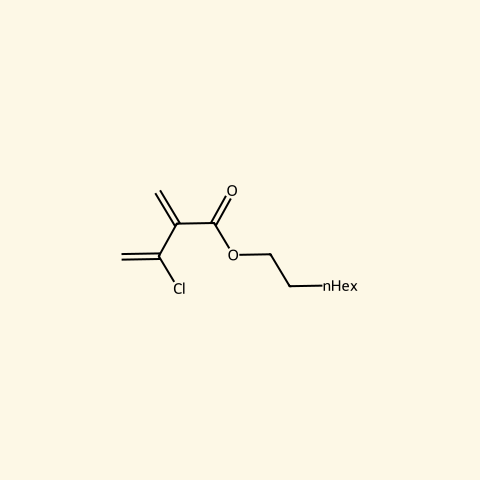 C=C(Cl)C(=C)C(=O)OCCCCCCCC